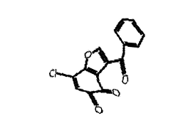 O=C1C=C(Cl)c2occ(C(=O)c3ccccc3)c2C1=O